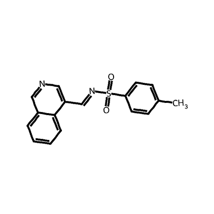 Cc1ccc(S(=O)(=O)/N=C/c2cncc3ccccc23)cc1